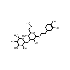 COCC1OC(OCCC2=CC(O)=C(O)CC2)C(O)C(OC2OC(C)C(O)C(O)C2O)C1O